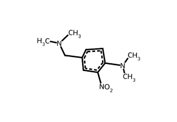 CN(C)Cc1ccc(N(C)C)c([N+](=O)[O-])c1